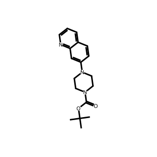 CC(C)(C)OC(=O)N1CCN(c2ccc3cccnc3c2)CC1